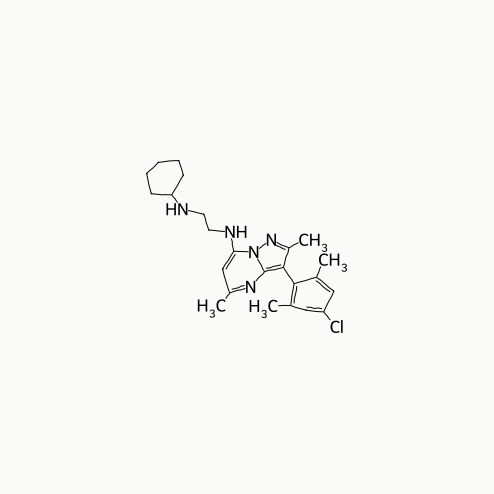 Cc1cc(NCCNC2CCCCC2)n2nc(C)c(-c3c(C)cc(Cl)cc3C)c2n1